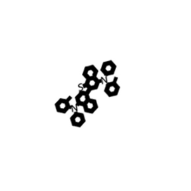 Cc1ccccc1N(c1ccccc1)c1cc2c(sc3cc(N(c4ccccc4)c4ccccc4C)c4ccccc4c32)c2ccccc12